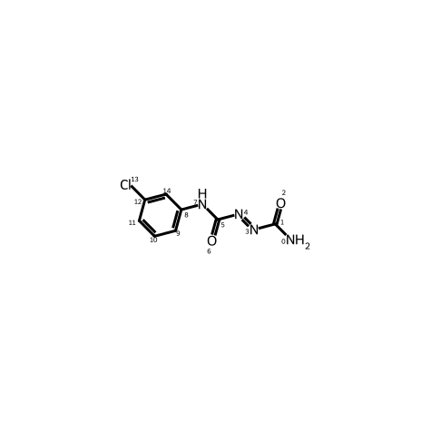 NC(=O)N=NC(=O)Nc1cccc(Cl)c1